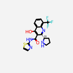 O=C(Nc1nccs1)c1c([C@@H]2CCCN2)nc2c(C(F)(F)F)cccc2c1O